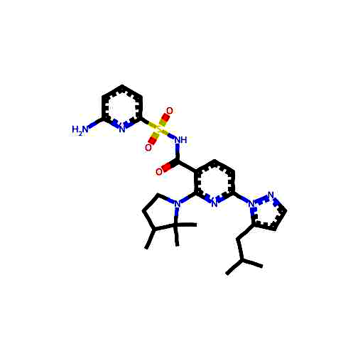 CC(C)Cc1ccnn1-c1ccc(C(=O)NS(=O)(=O)c2cccc(N)n2)c(N2CCC(C)C2(C)C)n1